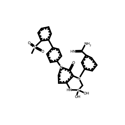 CS(=O)(=O)c1ccccc1-c1ccc(-n2ccc3c(c2=O)N(c2cccc(C(=N)N)c2)CS(O)(O)N3)cc1